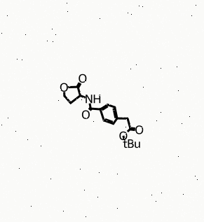 CC(C)(C)OC(=O)Cc1ccc(C(=O)NC2CCOC2=O)cc1